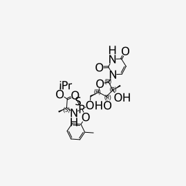 Cc1ccccc1OP(=S)(N[C@@H](C)C(=O)OC(C)C)OC[C@H]1O[C@@H](n2ccc(=O)[nH]c2=O)[C@](C)(O)[C@@H]1O